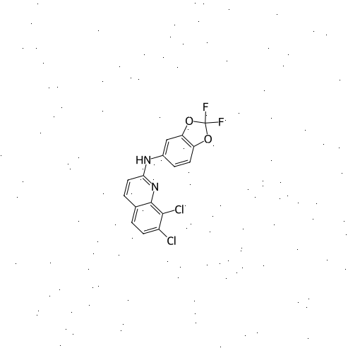 FC1(F)Oc2ccc(Nc3ccc4ccc(Cl)c(Cl)c4n3)cc2O1